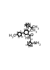 Cc1ccc(-c2cc(C(=O)NCc3nccnc3N)cc(-n3nnnc3C(C)C)c2)cc1